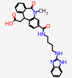 CN1C(=O)c2ccccc2C(CC(=O)O)c2ccc(C(=O)NCCCCNc3nc4ccccc4[nH]3)cc21